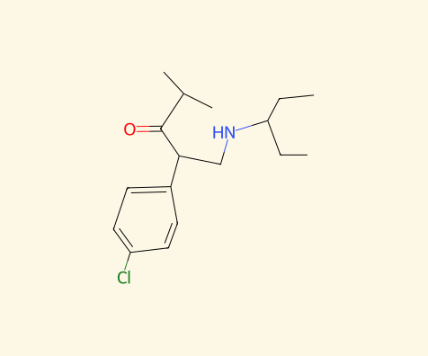 CCC(CC)NCC(C(=O)C(C)C)c1ccc(Cl)cc1